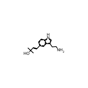 CC(C)(O)C=Cc1ccc2[nH]cc(CCN)c2c1